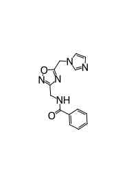 O=C(NCc1noc(Cn2ccnc2)n1)c1ccccc1